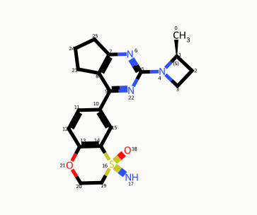 C[C@H]1CCN1c1nc2c(c(-c3ccc4c(c3)S(=N)(=O)CCO4)n1)CCC2